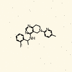 Cc1ccc(N2CCc3ncnc(NC(C)c4ccccc4F)c3C2)nc1